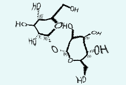 OCC1O[C@H](O[C@H]2OC(CO)[C@@H](O)[C@H](O)C2O)[C@H](O)C(O)[C@@H]1O